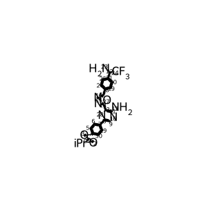 CC(C)S(=O)(=O)c1ccc(-c2cnc(N)c(-c3nnc(-c4ccc([C@@H](N)C(F)(F)F)cc4)o3)n2)cc1